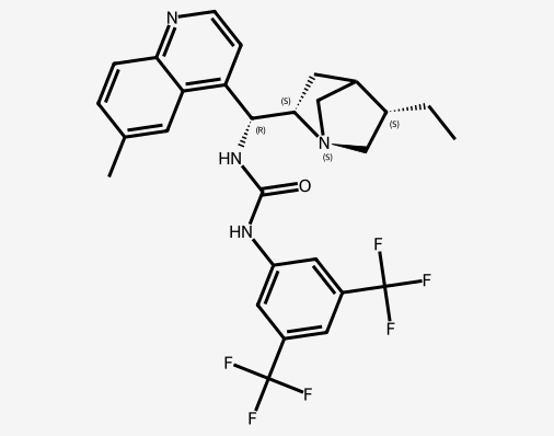 CC[C@@H]1C[N@]2CC1C[C@H]2[C@H](NC(=O)Nc1cc(C(F)(F)F)cc(C(F)(F)F)c1)c1ccnc2ccc(C)cc12